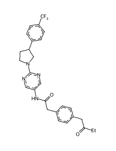 CCC(=O)Cc1ccc(CC(=O)Nc2cnc(N3CCC(c4ccc(C(F)(F)F)cc4)C3)nc2)cc1